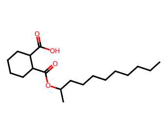 CCCCCCCCCC(C)OC(=O)C1CCCCC1C(=O)O